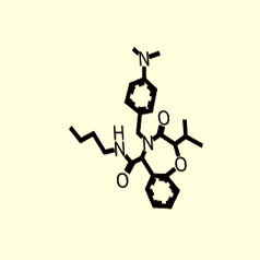 CCCCNC(=O)C1c2ccccc2OC(C(C)C)C(=O)N1Cc1ccc(N(C)C)cc1